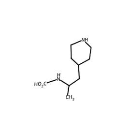 CC(CC1CCNCC1)NC(=O)O